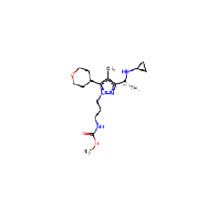 COC(=O)NCCCn1nc([C@@H](C)NC2CC2)c(C)c1C1CCOCC1